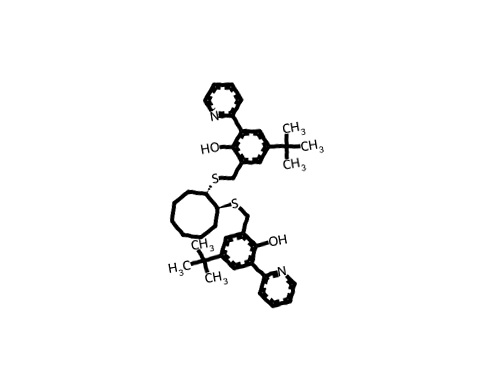 CC(C)(C)c1cc(CS[C@H]2CCCCCC[C@@H]2SCc2cc(C(C)(C)C)cc(-c3ccccn3)c2O)c(O)c(-c2ccccn2)c1